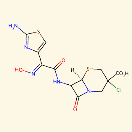 Nc1nc(C(=NO)C(=O)NC2C(=O)N3CC(Cl)(C(=O)O)CS[C@H]23)cs1